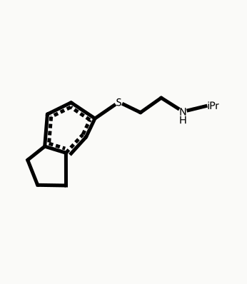 CC(C)NCCSc1ccc2c(c1)CCC2